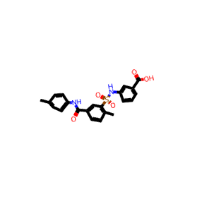 Cc1ccc(NC(=O)c2ccc(C)c(S(=O)(=O)Nc3cccc(C(=O)O)c3)c2)cc1